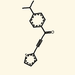 CC(C)c1ccc(C(=O)C#Cc2cccs2)cc1